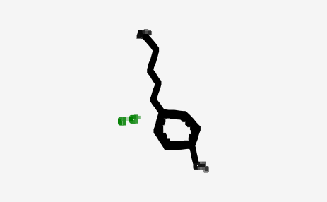 Cc1ccc(CCC[CH2][Al+2])cc1.[Cl-].[Cl-]